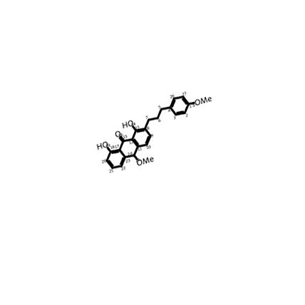 COc1ccc(CCCc2ccc3c(c2O)C(=O)c2c(O)cccc2C3OC)cc1